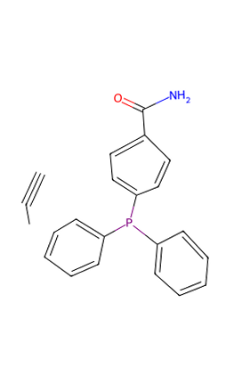 C#CC.NC(=O)c1ccc(P(c2ccccc2)c2ccccc2)cc1